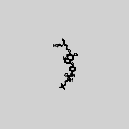 CCN(CCO)CCOc1cc2nccc(Oc3ccc(NC(=O)NCCC(C)(C)C)cc3)c2cc1OC